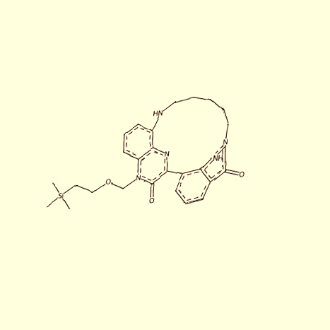 C[Si](C)(C)CCOCn1c(=O)c2nc3c(cccc31)NCCCCCn1[nH]c3c-2cccc3c1=O